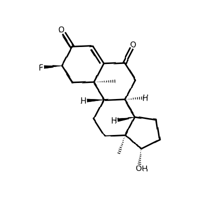 C[C@]12CC[C@H]3[C@@H](CC(=O)C4=CC(=O)[C@H](F)C[C@@]43C)[C@@H]1CC[C@@H]2O